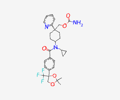 CC1(C)OCC(c2ccc(C(=O)N(C3CC3)C3CCC(COC(N)=O)(c4ccccn4)CC3)cc2)(C(F)(F)F)O1